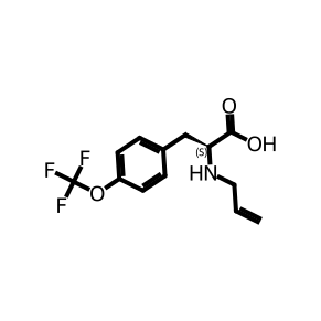 C=CCN[C@@H](Cc1ccc(OC(F)(F)F)cc1)C(=O)O